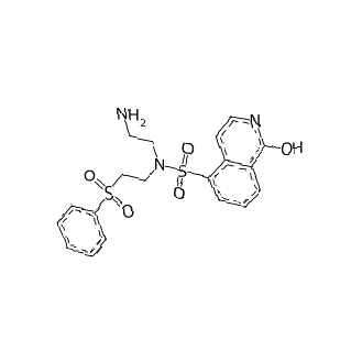 NCCN(CCS(=O)(=O)c1ccccc1)S(=O)(=O)c1cccc2c(O)nccc12